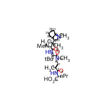 CCC[C@@H](NC(=O)/C(C)=C/CN(C)C(=O)C(NC(=O)[C@@H](NC)C(C)(C)c1cn(C)c2ccccc12)C(C)(C)C)C(=O)O